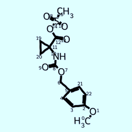 COc1ccc(COC(=O)NC2(C(=O)OS(C)(=O)=O)CC2)cc1